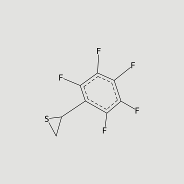 Fc1c(F)c(F)c(C2CS2)c(F)c1F